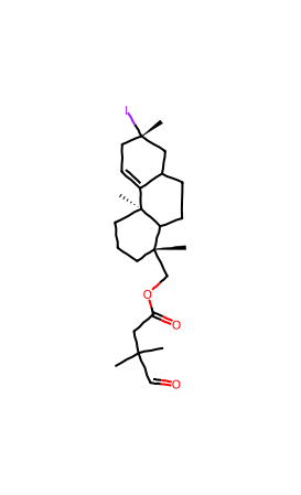 CC(C)(C=O)CC(=O)OC[C@]1(C)CCC[C@@]2(C)C3=CC[C@](C)(I)CC3CCC12